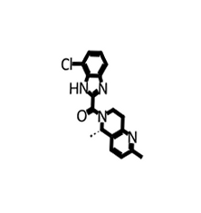 Cc1ccc2c(n1)CCN(C(=O)c1nc3cccc(Cl)c3[nH]1)[C@H]2C